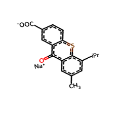 Cc1cc(C(C)C)c2sc3ccc(C(=O)[O-])cc3c(=O)c2c1.[Na+]